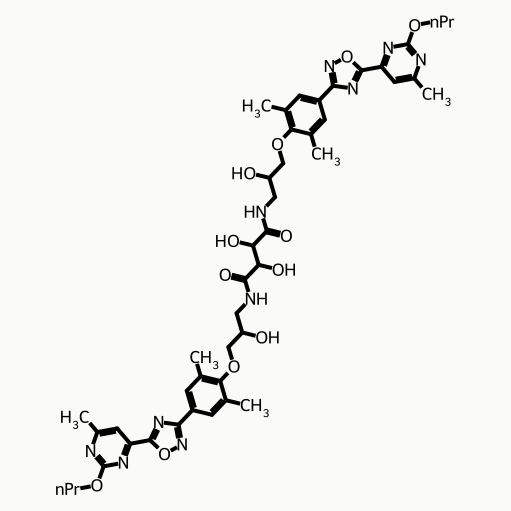 CCCOc1nc(C)cc(-c2nc(-c3cc(C)c(OCC(O)CNC(=O)C(O)C(O)C(=O)NCC(O)COc4c(C)cc(-c5noc(-c6cc(C)nc(OCCC)n6)n5)cc4C)c(C)c3)no2)n1